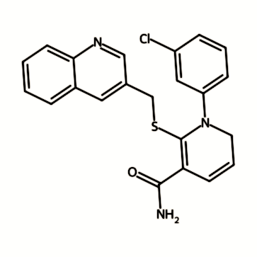 NC(=O)C1=C(SCc2cnc3ccccc3c2)N(c2cccc(Cl)c2)CC=C1